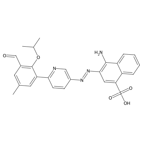 Cc1cc(C=O)c(OC(C)C)c(-c2ccc(/N=N/c3cc(S(=O)(=O)O)c4ccccc4c3N)cn2)c1